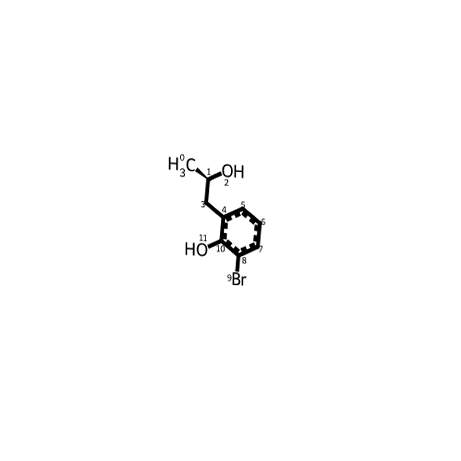 C[C@@H](O)Cc1cccc(Br)c1O